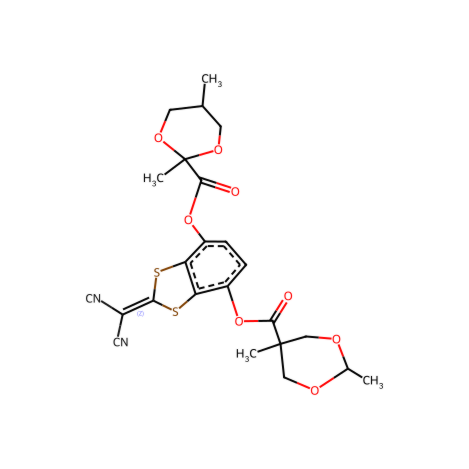 [C-]#[N+]/C(C#N)=C1/Sc2c(OC(=O)C3(C)COC(C)OC3)ccc(OC(=O)C3(C)OCC(C)CO3)c2S1